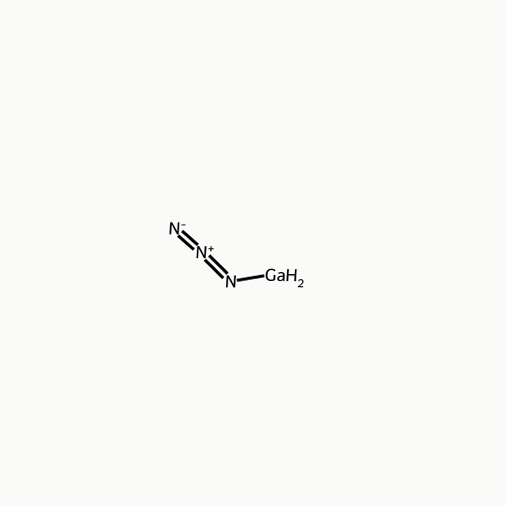 [N-]=[N+]=[N][GaH2]